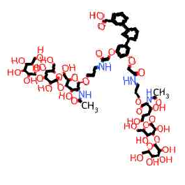 CC(=O)NC1C(O)[C@H](O[C@@H]2OC(CO)[C@H](O)C(O[C@H]3OC(CO)[C@H](O)C(O)C3O)C2O)C(CO)O[C@H]1OCCCNC(=O)COc1cc(OCC(=O)NCCCO[C@@H]2OC(CO)[C@@H](O[C@@H]3OC(CO)[C@H](O)C(O[C@H]4OC(CO)[C@H](O)C(O)C4O)C3O)C(O)C2NC(C)=O)cc(-c2cccc(-c3cccc(C(=O)O)c3)c2)c1